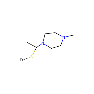 CCSC(C)N1CCN(C)CC1